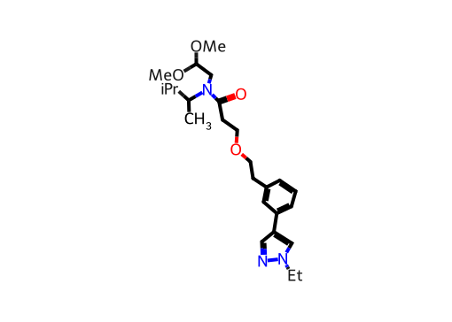 CCn1cc(-c2cccc(CCOCCC(=O)N(CC(OC)OC)C(C)C(C)C)c2)cn1